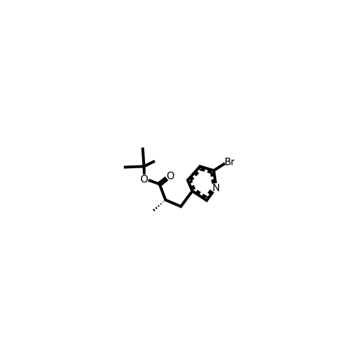 C[C@@H](Cc1ccc(Br)nc1)C(=O)OC(C)(C)C